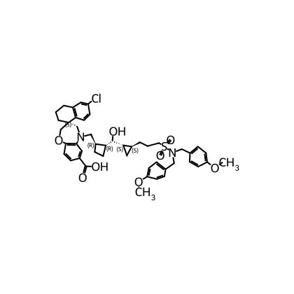 COc1ccc(CN(Cc2ccc(OC)cc2)S(=O)(=O)CCC[C@H]2C[C@@H]2C(O)[C@@H]2CC[C@H]2CN2C[C@@]3(CCCc4cc(Cl)ccc43)COc3ccc(C(=O)O)cc32)cc1